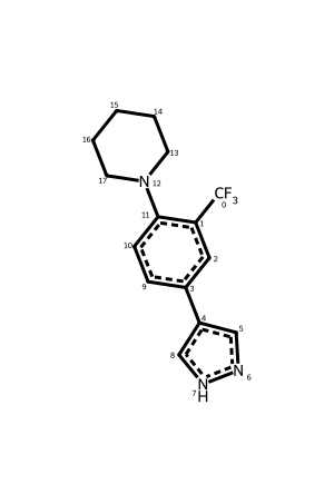 FC(F)(F)c1cc(-c2cn[nH]c2)ccc1N1CCCCC1